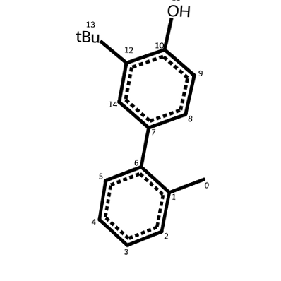 Cc1ccccc1-c1ccc(O)c(C(C)(C)C)c1